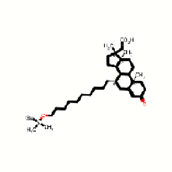 CC(C)(C)[Si](C)(C)OCCCCCCCCCC[C@@H]1CC2=CC(=O)CC[C@]2(C)C2CC[C@@]3(C)C(CC[C@]3(C)CC(=O)O)C21